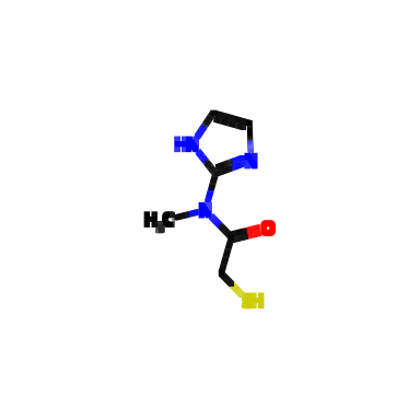 CN(C(=O)CS)c1ncc[nH]1